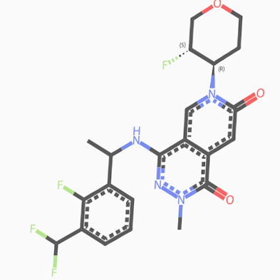 CC(Nc1nn(C)c(=O)c2cc(=O)n([C@@H]3CCOC[C@H]3F)cc12)c1cccc(C(F)F)c1F